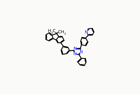 CC1(C)c2ccccc2-c2cc(-c3cccc(-c4nc(-c5ccccc5)nc(-c5ccc(-c6ccccn6)cc5)n4)c3)ccc21